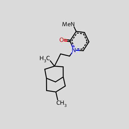 CNc1cccn(CCC2(C)CC3CC(C)CC(C3)C2)c1=O